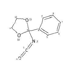 O=C=NC1(c2ccccc2)OCCO1